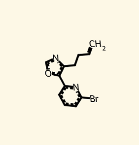 C=CCCc1ncoc1-c1cccc(Br)n1